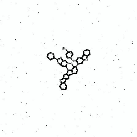 CC(C)(C)c1ccc(N2B3c4cc5nc(-c6ccccc6)oc5cc4-n4c5cc6sc7ccccc7c6cc5c5ccc(c3c54)-c3cc4oc5ccccc5c4cc32)cc1